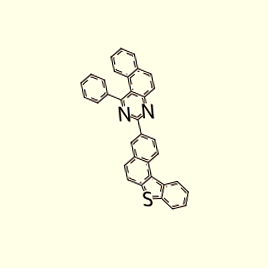 c1ccc(-c2nc(-c3ccc4c(ccc5sc6ccccc6c54)c3)nc3ccc4ccccc4c23)cc1